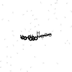 COCCOCCOCCNC1CCC2=CC3=CCC4(C)C(c5ccc6ccncc6c5)CC[C@H]4[C@@]34CC[C@]2(C1)O4